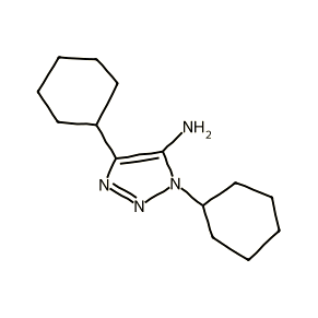 Nc1c(C2CCCCC2)nnn1C1CCCCC1